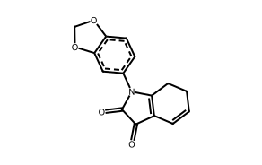 O=C1C(=O)N(c2ccc3c(c2)OCO3)C2=C1C=CCC2